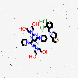 Cl.Clc1ccccc1CN1CCc2sccc2C1.OCCN(CCO)c1nc(N2CCCCC2)c2nc(N(CCO)CCO)nc(N3CCCCC3)c2n1